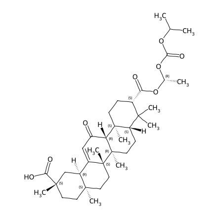 CC(C)OC(=O)O[C@H](C)OC(=O)[C@H]1CC[C@]2(C)[C@H]3C(=O)C=C4[C@@H]5C[C@@](C)(C(=O)O)CC[C@]5(C)CC[C@@]4(C)[C@]3(C)CC[C@H]2C1(C)C